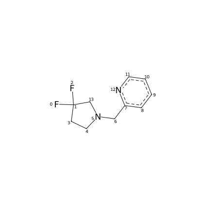 FC1(F)CCN(Cc2ccccn2)C1